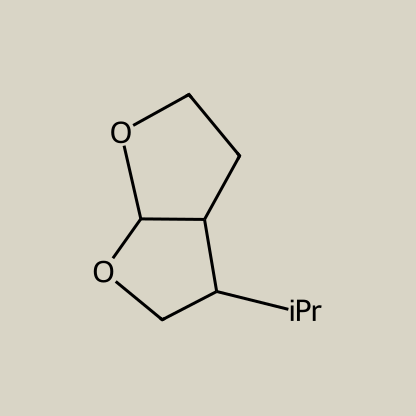 CC(C)C1COC2OCCC21